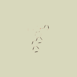 CC1Cc2c(ccc3c2ccc2ccccc23)CC1C(=O)c1ccco1